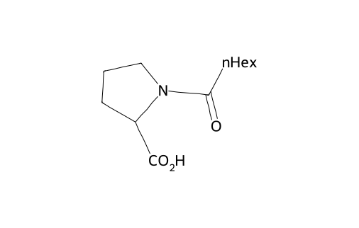 CCCCCCC(=O)N1CCCC1C(=O)O